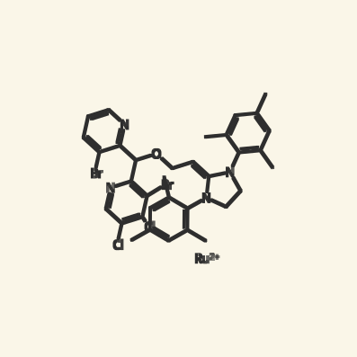 Cc1cc(C)c(N2CCN(c3c(C)cc(C)cc3C)C2=CCOC(c2ncccc2Br)c2ncc(Cl)c(Cl)c2Br)c(C)c1.[Ru+2]